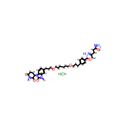 C[C@@H](OCc1ccc(CCCOCCCCCCOCCCc2ccc3c(c2)n(C)c(=O)n3C2CCC(=O)N(C)C2=O)cc1)[C@@H](N)CCC(N)=O.Cl